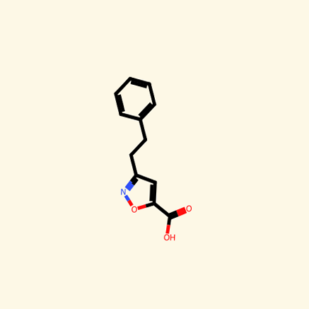 O=C(O)c1cc(CCc2ccccc2)no1